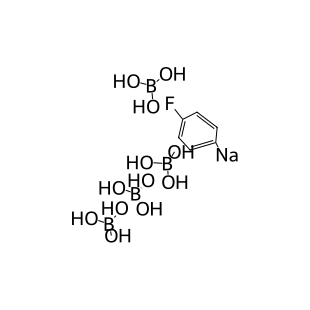 Fc1cc[c]([Na])cc1.OB(O)O.OB(O)O.OB(O)O.OB(O)O